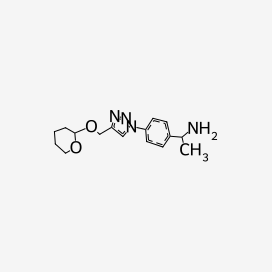 CC(N)c1ccc(-n2cc(COC3CCCCO3)nn2)cc1